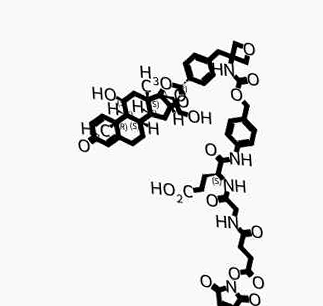 C[C@]12C=CC(=O)C=C1CC[C@@H]1[C@@H]2[C@@H](O)C[C@@]2(C)[C@H]1C[C@H]1O[C@@H](c3ccc(CC4(NC(=O)OCc5ccc(NC(=O)[C@H](CCC(=O)O)NC(=O)CNC(=O)CCC(=O)ON6C(=O)C=CC6=O)cc5)COC4)cc3)O[C@]12C(=O)CO